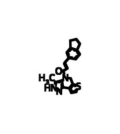 Cc1[nH]nc2c1N(C(=O)/C=C/c1ccc3c(c1)CCC3)Cc1sccc1-2